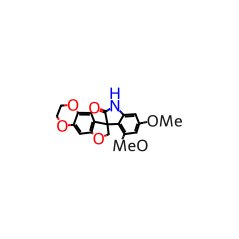 COc1cc2c(c(OC)c1)C1(COc3cc4c(cc31)OCCO4)C(=O)N2